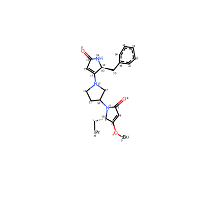 CC(C)C[C@H]1C(OC(C)(C)C)=CC(=O)N1C1CCN(C2=CC(=O)N[C@H]2Cc2ccccc2)C1